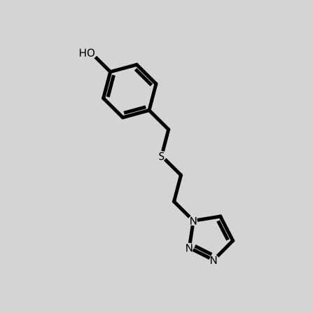 Oc1ccc(CSCCn2ccnn2)cc1